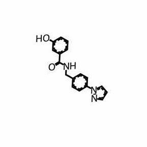 O=C(NCc1ccc(-n2cccn2)cc1)c1cccc(O)c1